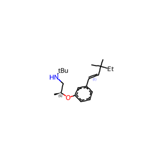 CCC(C)(C)/C=C/c1cccc(O[C@@H](C)CNC(C)(C)C)c1